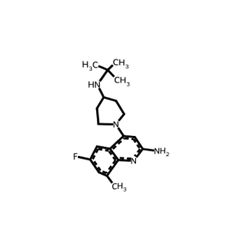 Cc1cc(F)cc2c(N3CCC(NC(C)(C)C)CC3)cc(N)nc12